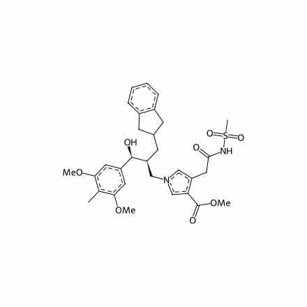 COC(=O)c1cn(C[C@H](CC2Cc3ccccc3C2)[C@H](O)c2cc(OC)c(C)c(OC)c2)cc1CC(=O)NS(C)(=O)=O